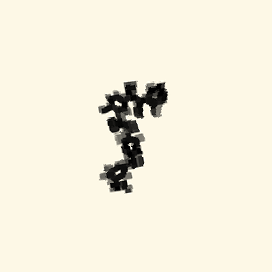 Cc1ccc(NC(=O)c2cnoc2C)cc1C(=O)Nc1cnc(Nc2cccc(N)c2)nc1